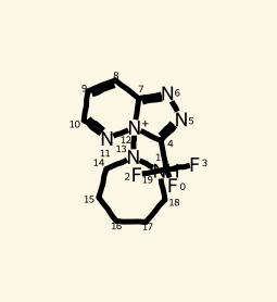 FC(F)(F)C1=NN=C2C=CC=N[N+]21N1CCCCCN1